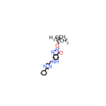 C[Si](C)(C)CCOCn1cnc2cc(NCc3cnc(C4CCCCC4)cn3)ccc2c1=O